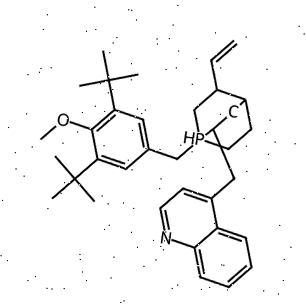 C=CC1C[PH]2(Cc3cc(C(C)(C)C)c(OC)c(C(C)(C)C)c3)CCC1CC2Cc1ccnc2ccccc12